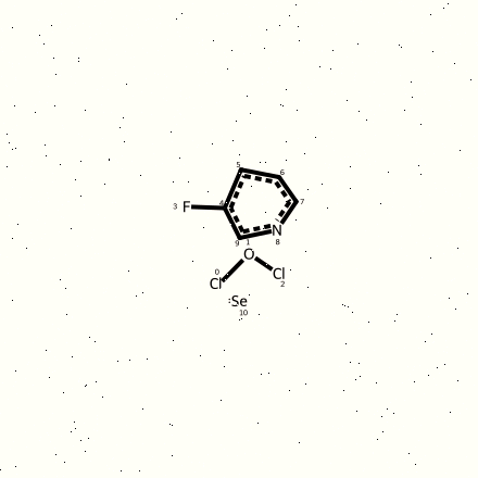 ClOCl.Fc1cccnc1.[Se]